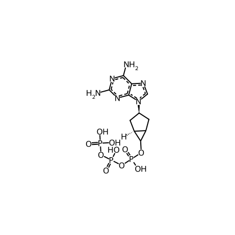 Nc1nc(N)c2ncn([C@H]3CC4C(OP(=O)(O)OP(=O)(O)OP(=O)(O)O)[C@H]4C3)c2n1